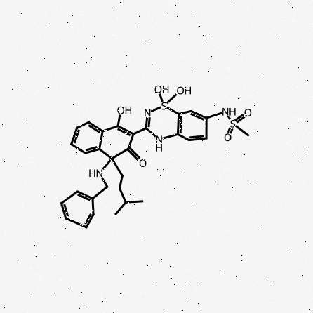 CC(C)CCC1(NCc2ccccc2)C(=O)C(C2=NS(O)(O)c3cc(NS(C)(=O)=O)ccc3N2)=C(O)c2ccccc21